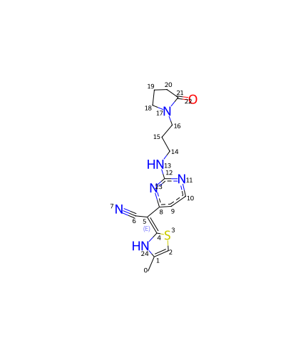 CC1=CS/C(=C(/C#N)c2ccnc(NCCCN3CCCC3=O)n2)N1